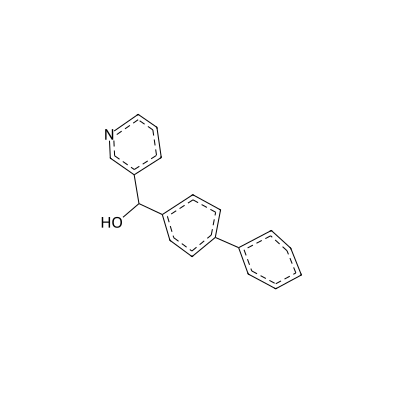 OC(c1ccc(-c2ccccc2)cc1)c1cccnc1